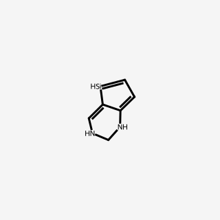 C1=[SiH]C2=CNCNC2=C1